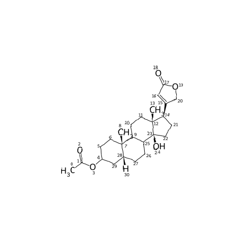 CC(=O)OC1CC[C@]2(C)C3CC[C@]4(C)[C@@H](C5=CC(=O)OC5)CC[C@]4(O)C3CC[C@@H]2C1